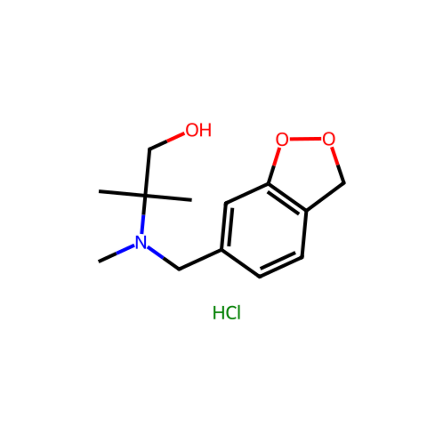 CN(Cc1ccc2c(c1)OOC2)C(C)(C)CO.Cl